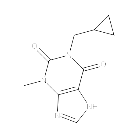 Cn1c(=O)n(CC2CC2)c(=O)c2[nH]cnc21